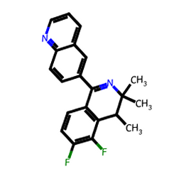 CC1c2c(ccc(F)c2F)C(c2ccc3ncccc3c2)=NC1(C)C